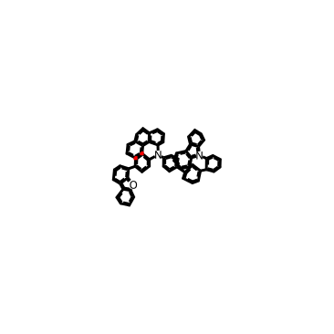 c1cc(-c2ccc(N(c3ccc(-c4cccc5c4oc4ccccc45)cc3)c3cccc4ccc5ccccc5c34)cc2)cc(-c2ccccc2-n2c3ccccc3c3ccccc32)c1